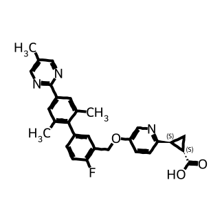 Cc1cnc(-c2cc(C)c(-c3ccc(F)c(COc4ccc([C@H]5C[C@@H]5C(=O)O)nc4)c3)c(C)c2)nc1